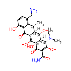 C[C@H]1c2c(CN)ccc(O)c2C(=O)C2=C(O)[C@]3(O)C(=O)C(C(N)=O)=C(O)[C@@H](N(C)C)[C@@H]3[C@@H](O)[C@@H]21